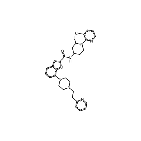 O=C(NC1CCN(c2ncccc2Cl)C(I)C1)c1cc2cccc(N3CCN(CCc4ccccn4)CC3)c2o1